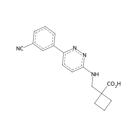 N#Cc1cccc(-c2ccc(NCC3(C(=O)O)CCC3)nn2)c1